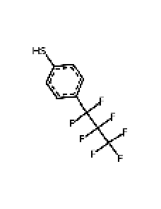 FC(F)(F)C(F)(F)C(F)(F)c1ccc(S)cc1